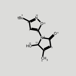 CC1=CC(=O)N(c2cc(C(C)(C)C)no2)C1O